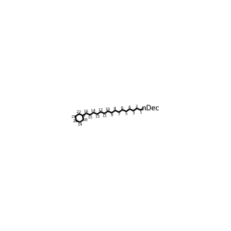 CCCCCCCCCCCCCCCCCCCCCCCCCCC1CCCCC1